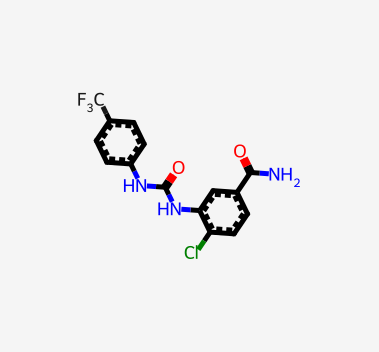 NC(=O)c1ccc(Cl)c(NC(=O)Nc2ccc(C(F)(F)F)cc2)c1